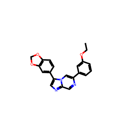 CCOc1cccc(-c2cn3c(-c4ccc5c(c4)OCO5)cnc3cn2)c1